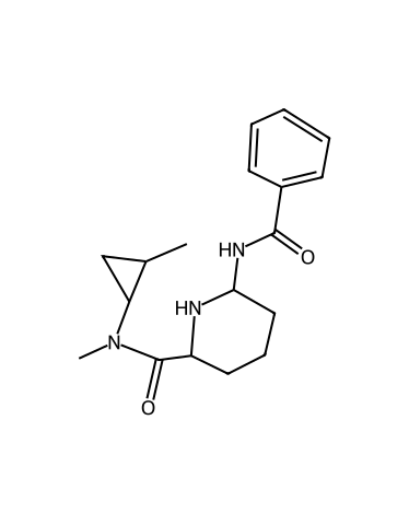 CC1CC1N(C)C(=O)C1CCCC(NC(=O)c2ccccc2)N1